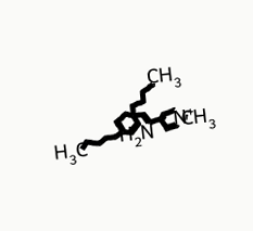 CCCCCC1=CCC(C=C(N)c2cc[n+](C)cc2)(CCCCC)C=C1